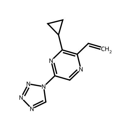 C=Cc1ncc(-n2cnnn2)nc1C1CC1